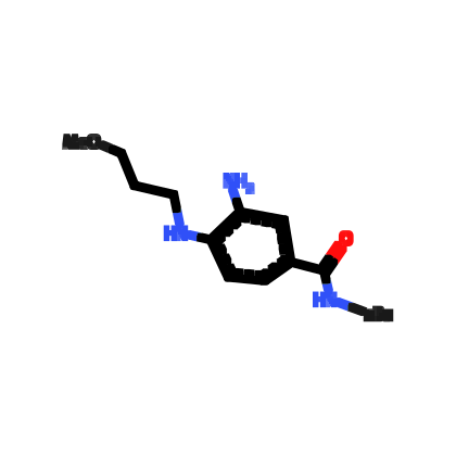 CCCCNC(=O)c1ccc(NCCCOC)c(N)c1